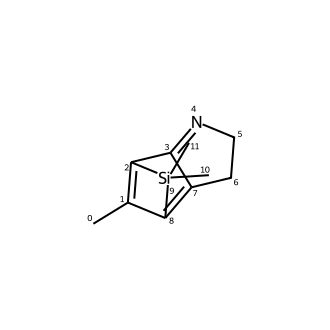 CC1=C2C3=NCCC3=C1[Si]2(C)C